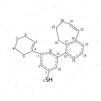 Sc1cc(C2=CCCCC2)cc(-c2cccc3c2CCCC=C3)c1